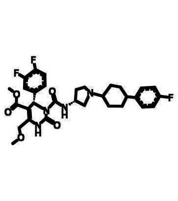 COCC1=C(C(=O)OC)[C@H](c2ccc(F)c(F)c2)N(C(=O)N[C@@H]2CCN(C3CCC(c4ccc(F)cc4)CC3)C2)C(=O)N1